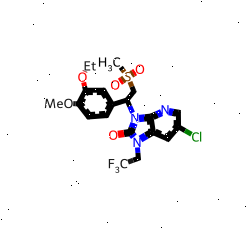 CCOc1cc(C(CS(C)(=O)=O)n2c(=O)n(CC(F)(F)F)c3cc(Cl)cnc32)ccc1OC